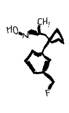 CC(=NO)C1(c2cccc(CF)c2)CC1